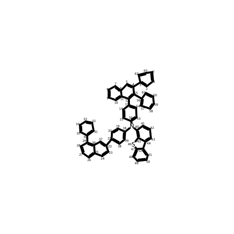 c1ccc(-c2cc3ccccc3c(-c3ccc(N(c4ccc(-c5ccc6cccc(-c7ccccc7)c6c5)cc4)c4cccc5c4sc4ccccc45)cc3)c2-c2ccccc2)cc1